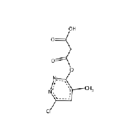 Cc1cc(Cl)nnc1OC(=O)CC(=O)O